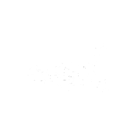 c1ccc(-c2ccc3c(c2)c2cc(-c4ccccc4)ccc2n3-c2ccc3c(c2)[Si](c2ccccc2)(c2ccccc2)c2cc(-c4ccc5sc6ccccc6c5c4)ccc2-3)cc1